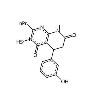 CCCc1nc2c(c(=O)n1S)C(c1cccc(O)c1)CC(=O)N2